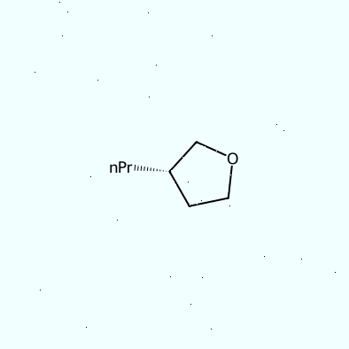 CCC[C@H]1CCOC1